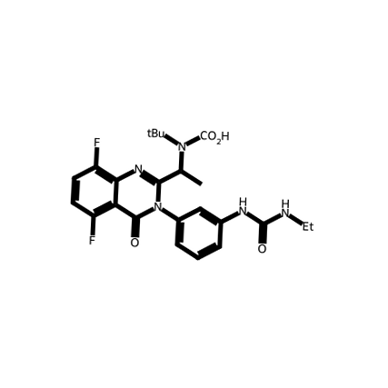 CCNC(=O)Nc1cccc(-n2c(C(C)N(C(=O)O)C(C)(C)C)nc3c(F)ccc(F)c3c2=O)c1